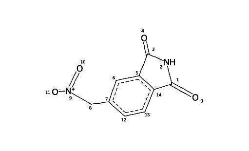 O=C1NC(=O)c2cc(C[N+](=O)[O-])ccc21